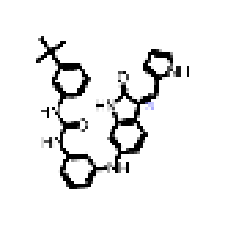 CC(C)(C)c1cccc(NC(=O)Nc2cccc(Nc3ccc4c(c3)NC(=O)/C4=C\c3ccc[nH]3)c2)c1